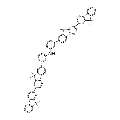 CC1(C)c2ccccc2-c2ccc(-c3ccc4c(c3)C(C)(C)c3cc(-c5cccc(Nc6cccc(-c7ccc8c(c7)C(C)(C)c7cc(-c9ccc%10c(c9)C(C)(C)c9ccccc9-%10)ccc7-8)c6)c5)ccc3-4)cc21